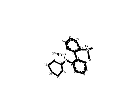 CCCCCP(c1ccccc1-c1ccccc1N(C)C)C1CCCCC1